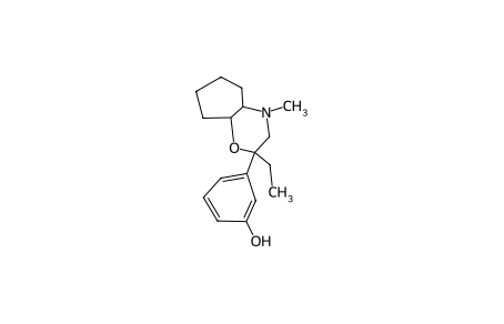 CCC1(c2cccc(O)c2)CN(C)C2CCCCC2O1